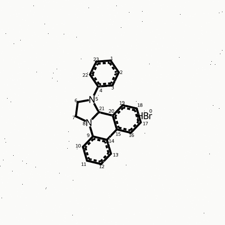 Br.c1ccc(N2CCN3c4ccccc4-c4ccccc4C23)cc1